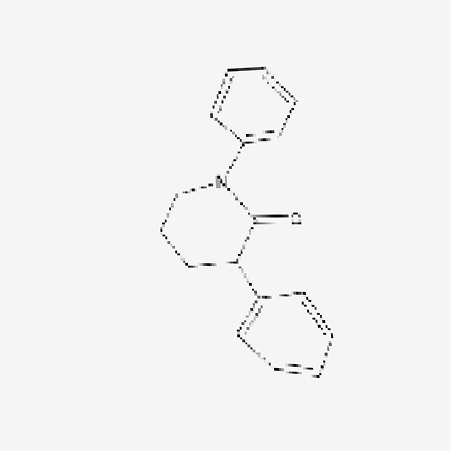 O=C1C(c2ccccc2)CCCN1c1ccccc1